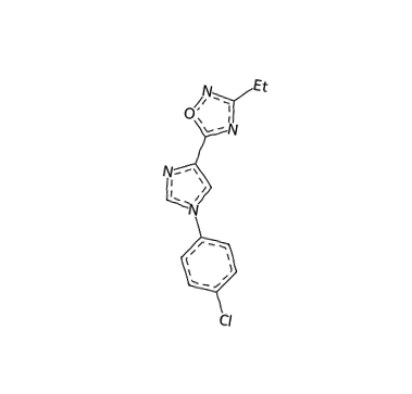 CCc1noc(-c2cn(-c3ccc(Cl)cc3)cn2)n1